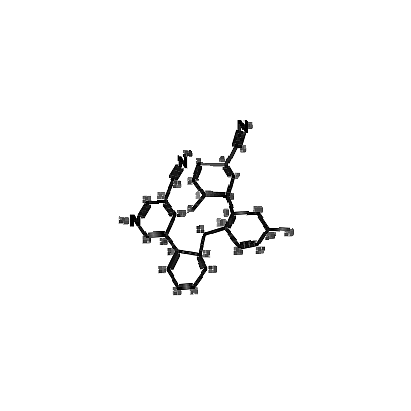 Cc1ccc(C#N)cc1C1=C(Cc2ccccc2-c2cncc(C#N)c2)C=CC(C)C1